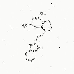 COc1cccc(/C=C/c2nc3ccccc3[nH]2)c1OC(C)C